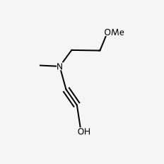 COCCN(C)C#CO